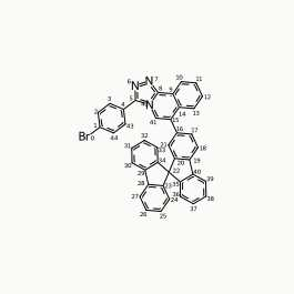 Brc1ccc(-c2nnc3c4ccccc4c(-c4ccc5c(c4)C4(c6ccccc6-c6ccccc64)c4ccccc4-5)cn23)cc1